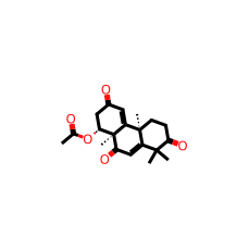 CC(=O)O[C@@H]1CC(=O)C=C2[C@@]3(C)CCC(=O)C(C)(C)C3=CC(=O)[C@]21C